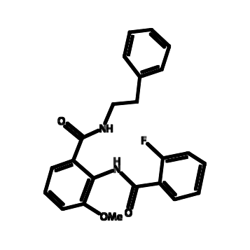 COc1cccc(C(=O)NCCc2ccccc2)c1NC(=O)c1ccccc1F